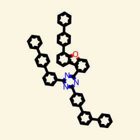 c1ccc(-c2ccc(-c3cccc(-c4nc(-c5ccc(-c6cccc(-c7ccccc7)c6)cc5)nc(-c5cccc6oc7c(-c8ccc(-c9ccccc9)cc8)cccc7c56)n4)c3)cc2)cc1